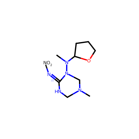 CN1CN/C(=N/[N+](=O)[O-])N(N(C)C2CCCO2)C1